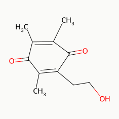 CC1=C(C)C(=O)C(CCO)=C(C)C1=O